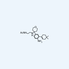 CC(=O)NCCNC1(c2ccc(N)c(C3=CCC(C)(C)CC3)c2)CCOCC1